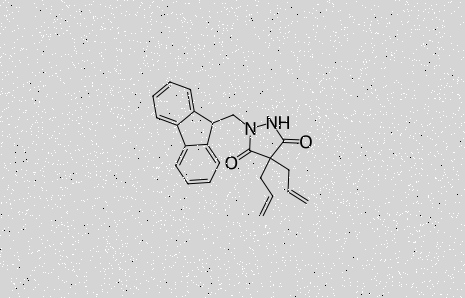 C=CCC1(CC=C)C(=O)NN(CC2c3ccccc3-c3ccccc32)C1=O